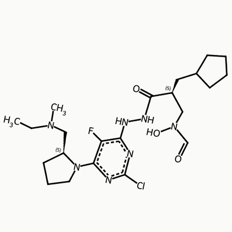 CCN(C)C[C@@H]1CCCN1c1nc(Cl)nc(NNC(=O)[C@@H](CC2CCCC2)CN(O)C=O)c1F